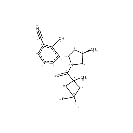 C[C@@H]1C[C@@H](c2cncc(C#N)c2O)N(C(=O)C2(C)CC(F)(F)C2)C1